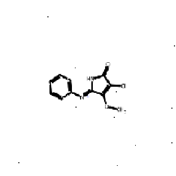 COC1=C(Cl)C(=O)N/C1=N\c1ccccc1